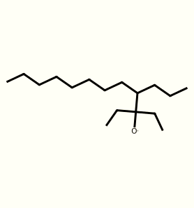 CCCCCCCCC(CCC)C([O])(CC)CC